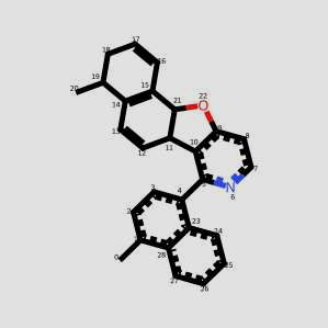 Cc1ccc(-c2nccc3c2C2C=CC4=C(C=CCC4C)C2O3)c2ccccc12